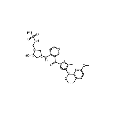 COc1ccc2c(n1)[C@H](c1cc(C(=O)c3cncnc3N[C@H]3C[C@H](O)[C@@H]([CH]NS(=O)(=O)O)C3)sc1C)OCC2